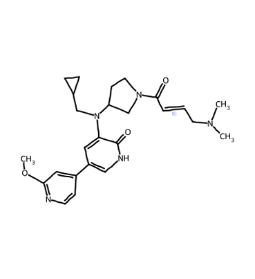 COc1cc(-c2c[nH]c(=O)c(N(CC3CC3)C3CCN(C(=O)/C=C/CN(C)C)C3)c2)ccn1